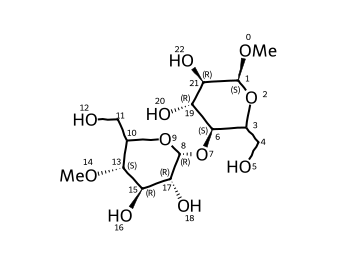 CO[C@H]1OC(CO)[C@@H](O[C@H]2OC(CO)[C@@H](OC)[C@H](O)[C@H]2O)[C@H](O)[C@H]1O